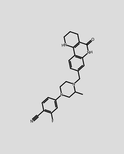 CC1CN(c2ccc(C#N)c(F)c2)CCN1Cc1ccc2c3c(c(=O)[nH]c2c1)CCCN3